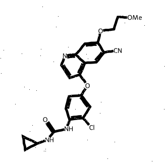 COCCOc1cc2nccc(Oc3ccc(NC(=O)NC4CC4)c(Cl)c3)c2cc1C#N